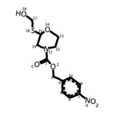 O=C(OCc1ccc([N+](=O)[O-])cc1)N1CCOC(SCO)C1